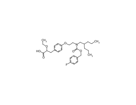 CCCC(CCC)CN(CCOc1ccc(CC(OCC)C(=O)O)cc1)C(=O)OCc1ccc(F)cc1